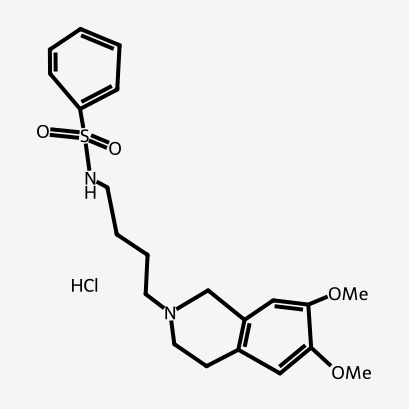 COc1cc2c(cc1OC)CN(CCCCNS(=O)(=O)c1ccccc1)CC2.Cl